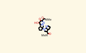 CNC(=O)c1nn(CC2(n3cc(C(=O)NC)c4cccnc43)CCCC2)cc(O)c1=O